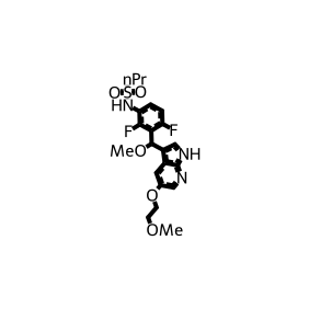 CCCS(=O)(=O)Nc1ccc(F)c(C(OC)c2c[nH]c3ncc(OCCOC)cc23)c1F